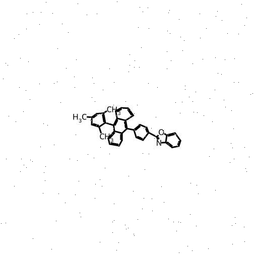 Cc1cc(C)c(-c2c3ccccc3c(-c3ccc(-c4nc5ccccc5o4)cc3)c3ccccc23)c(C)c1